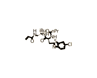 C=CC(=O)NC[C@@H](NC(=O)[C@H](Cc1nc2ccc(Cl)cc2s1)NC(=O)CCC)[C@@H](C)CC